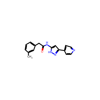 Cc1cccc(CC(=O)Nc2cc(-c3ccncc3)n[nH]2)c1